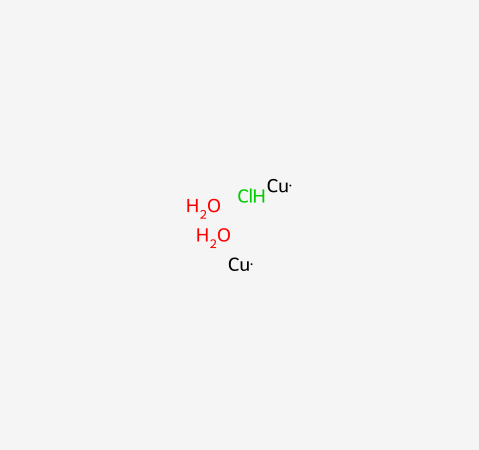 Cl.O.O.[Cu].[Cu]